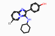 CCc1ccc2nc(-c3ccc(O)cc3)c(NC3CCCCC3)n2c1